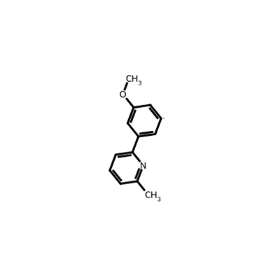 COc1c[c]cc(-c2cccc(C)n2)c1